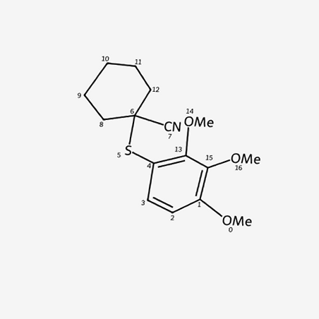 COc1ccc(SC2(C#N)CCCCC2)c(OC)c1OC